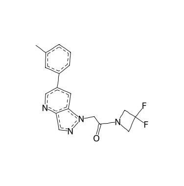 Cc1cccc(-c2cnc3cnn(CC(=O)N4CC(F)(F)C4)c3c2)c1